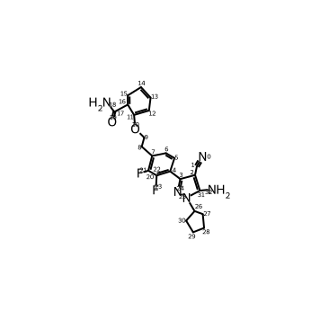 N#Cc1c(-c2ccc(CCOc3ccccc3C(N)=O)c(F)c2F)nn(C2CCCC2)c1N